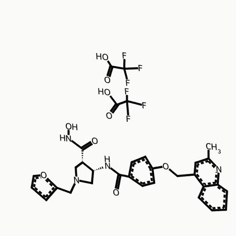 Cc1cc(COc2ccc(C(=O)N[C@@H]3CN(Cc4ccco4)C[C@@H]3C(=O)NO)cc2)c2ccccc2n1.O=C(O)C(F)(F)F.O=C(O)C(F)(F)F